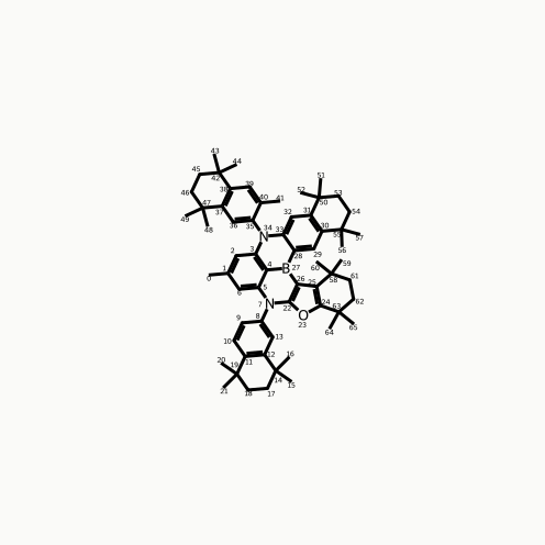 Cc1cc2c3c(c1)N(c1ccc4c(c1)C(C)(C)CCC4(C)C)c1oc4c(c1B3c1cc3c(cc1N2c1cc2c(cc1C)C(C)(C)CCC2(C)C)C(C)(C)CCC3(C)C)C(C)(C)CCC4(C)C